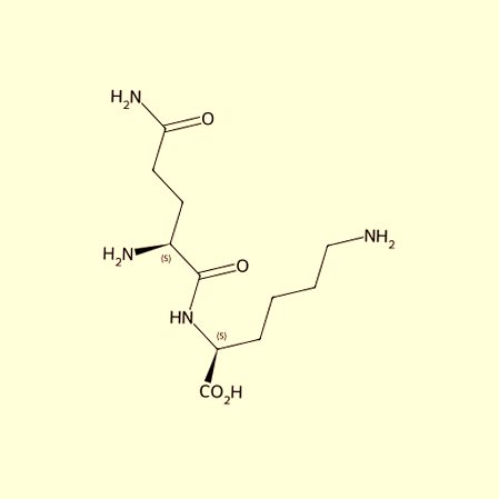 NCCCC[C@H](NC(=O)[C@@H](N)CCC(N)=O)C(=O)O